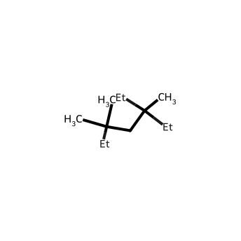 [CH2]CC(C)(CC)CC(C)(C)CC